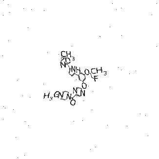 CC(CF)Oc1cc(Oc2cnc(C(=O)N3CCN(C)CC3)cn2)cc(-c2ccc(C3=NC[C@H](C)O3)[nH]2)c1